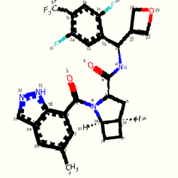 Cc1cc(C(=O)N2[C@@H](C(=O)N[C@@H](c3cc(F)c(C(F)(F)F)cc3F)C3COC3)C[C@H]3CC[C@H]32)c2[nH]ncc2c1